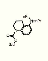 CCCN(CCC)c1cccc2c1CCCN2C(=O)OC(C)(C)C